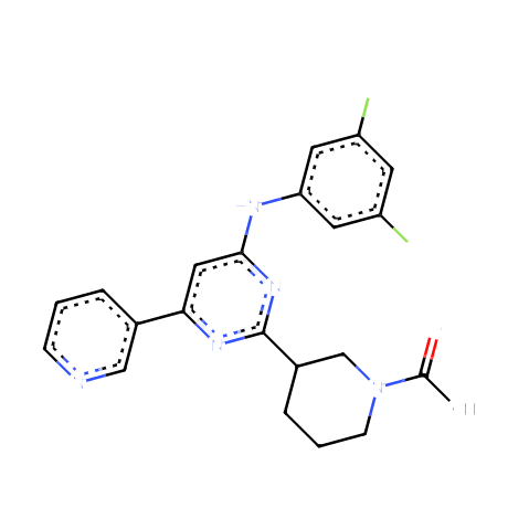 CC(=O)N1CCCC(c2nc(Nc3cc(F)cc(F)c3)cc(-c3cccnc3)n2)C1